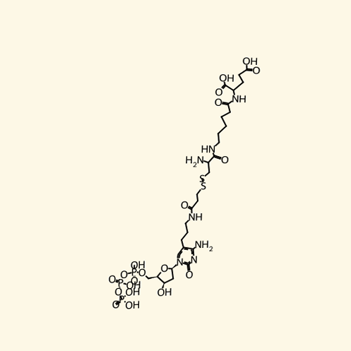 Nc1nc(=O)n([C@H]2C[C@@H](O)[C@@H](COP(=O)(O)OP(=O)(O)OP(=O)(O)O)O2)cc1CCCNC(=O)CCSSCC(N)C(=O)NCCCCCC(=O)NC(CCC(=O)O)C(=O)O